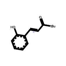 CC(C)(C)C(=O)/C=C/c1ccccc1O